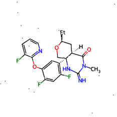 CC[C@H]1C[C@H]2C(=O)N(C)C(=N)N[C@@]2(c2cc(Oc3ncccc3F)c(F)cc2F)CO1